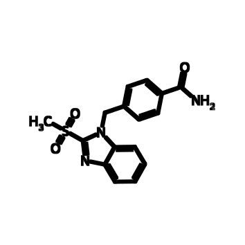 CS(=O)(=O)c1nc2ccccc2n1Cc1ccc(C(N)=O)cc1